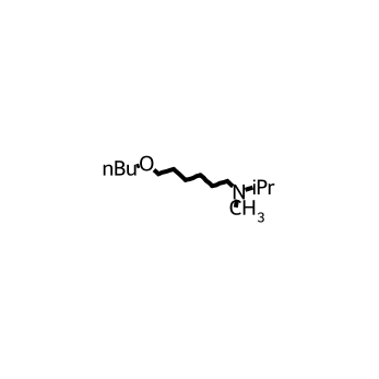 CCCCOCCCCCCN(C)C(C)C